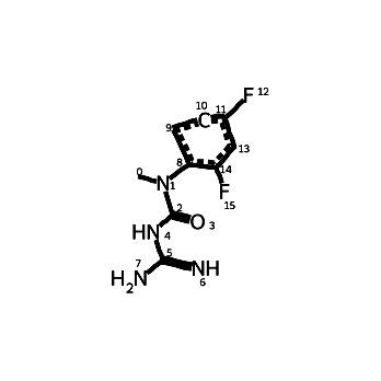 CN(C(=O)NC(=N)N)c1ccc(F)cc1F